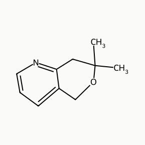 CC1(C)Cc2ncccc2CO1